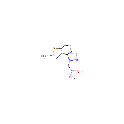 Cc1cc2c(ccc3cnn(CC(C)O)c32)s1